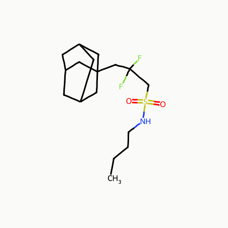 CCCCNS(=O)(=O)CC(F)(F)CC12CC3CC(CC(C3)C1)C2